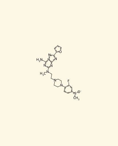 CN(CCN1CCN(c2ccc([S@+](C)[O-])cc2F)CC1)c1nc(N)n2nc(-c3ccco3)nc2n1